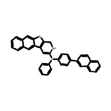 C1=C(N(c2ccccc2)c2ccc(-c3ccc4ccccc4c3)cc2)NCc2sc3cc4ccccc4cc3c21